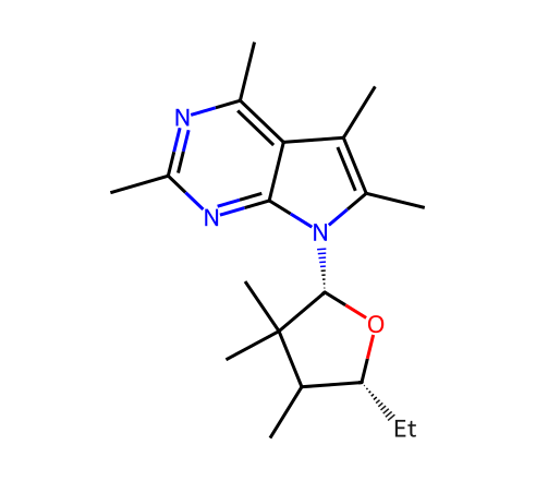 CC[C@H]1O[C@@H](n2c(C)c(C)c3c(C)nc(C)nc32)C(C)(C)C1C